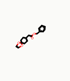 O=C(CC1CCC2(CC1)OCCO2)OCc1ccccc1